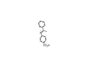 C/C(=N\c1ccc(C(=O)O)cc1)c1ccccc1